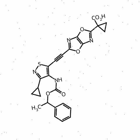 CC(OC(=O)Nc1c(C2CC2)nsc1C#Cc1nc2oc(C3(C(=O)O)CC3)nc2o1)c1ccccc1